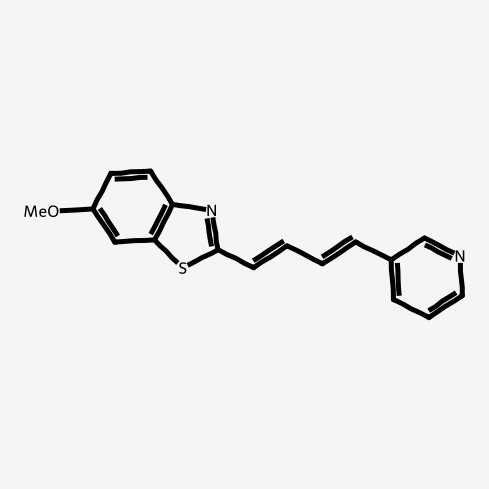 COc1ccc2nc(/C=C/C=C/c3cccnc3)sc2c1